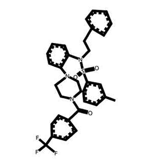 Cc1cccc(S(=O)(=O)N(CCc2ccccc2)c2ccccc2N2CCN(C(=O)c3ccc(C(F)(F)F)cc3)CC2)c1